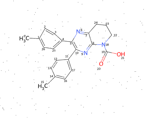 Cc1ccc(-c2nc3c(nc2-c2ccc(C)cc2)N(C(=O)O)CCC3)cc1